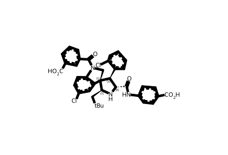 CC(C)(C)C[C@@H]1N[C@@H](C(=O)Nc2ccc(C(=O)O)cc2)[C@H](c2ccccc2Cl)[C@]12CN(C(=O)c1cccc(C(=O)O)c1)c1ccc(Cl)cc12